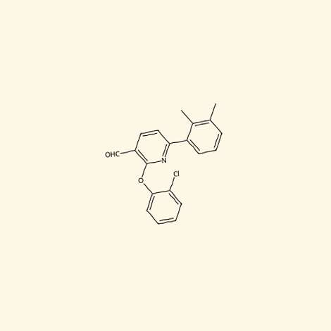 Cc1cccc(-c2ccc(C=O)c(Oc3ccccc3Cl)n2)c1C